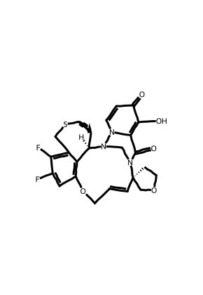 O=C1c2c(O)c(=O)ccn2N2CN1[C@@]1(/C=C/COc3cc(F)c(F)c4c3[C@H]2c2ccccc2SC4)CCOC1